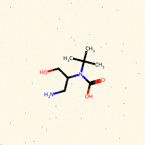 CC(C)(C)N(C(=O)O)C(CN)CO